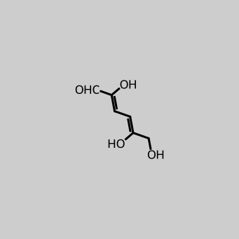 O=CC(O)=CC=C(O)CO